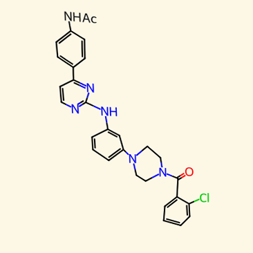 CC(=O)Nc1ccc(-c2ccnc(Nc3cccc(N4CCN(C(=O)c5ccccc5Cl)CC4)c3)n2)cc1